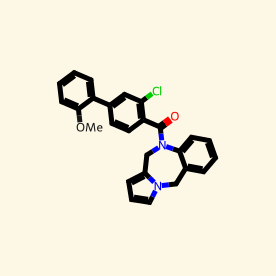 COc1ccccc1-c1ccc(C(=O)N2Cc3cccn3Cc3ccccc32)c(Cl)c1